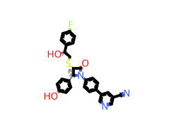 N#Cc1cncc(-c2ccc(N3C(=O)[C@H](SC[C@H](O)c4ccc(F)cc4)[C@H]3c3ccc(O)cc3)cc2)c1